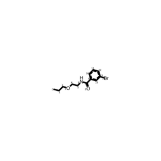 CCCOCCNC(=O)c1cccc(Br)c1